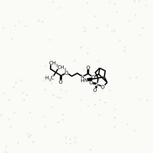 CCC(C)(C)C(=O)OCCNC(=O)OC1C2CC3C1OS(=O)(=O)C3(C#N)C2